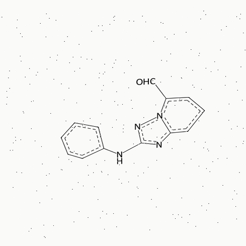 O=Cc1cccc2nc(Nc3ccccc3)nn12